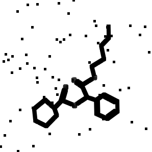 CCCCCOC(=O)C(OC(=O)C1CCCCC1)c1ccccc1